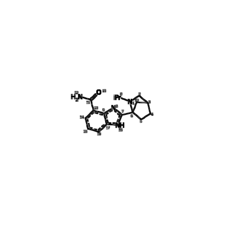 CC(C)N1CC2CCC1(c1nc3c(C(N)=O)cccc3[nH]1)C2